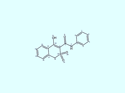 O=C(Nc1ccccc1)C1=C(O)c2ccccc2CS1(=O)=O